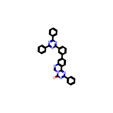 O=c1nc(-c2ccccc2)nc2c3ccc(-c4cccc(-c5nc(-c6ccccc6)nc(-c6ccccc6)n5)c4)cc3ncn12